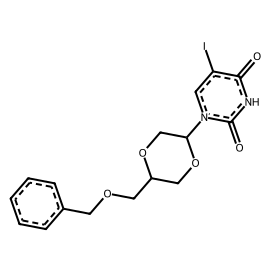 O=c1[nH]c(=O)n(C2COC(COCc3ccccc3)CO2)cc1I